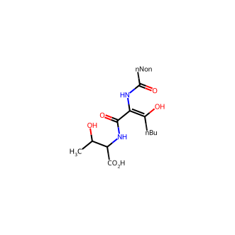 CCCCCCCCCC(=O)NC(C(=O)NC(C(=O)O)C(C)O)=C(O)CCCC